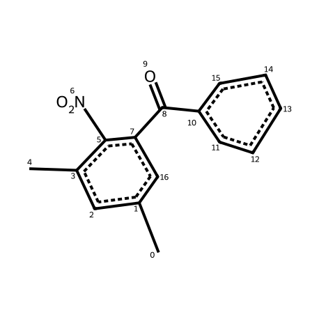 Cc1cc(C)c([N+](=O)[O-])c(C(=O)c2ccccc2)c1